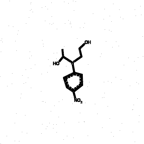 CC(O)N(CCO)c1ccc([N+](=O)[O-])cc1